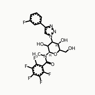 CN(C(=O)c1c(F)c(F)c(F)c(F)c1F)[C@@H]1OC(CO)[C@H](O)C(n2cc(-c3cccc(F)c3)nn2)C1O